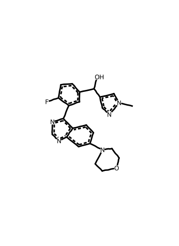 Cn1cc(C(O)c2ccc(F)c(-c3ncnc4cc(N5CCOCC5)ccc34)c2)cn1